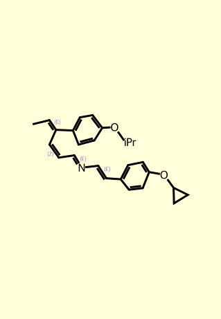 C\C=C(/C=C\C=N\C=C\c1ccc(OC2CC2)cc1)c1ccc(OC(C)C)cc1